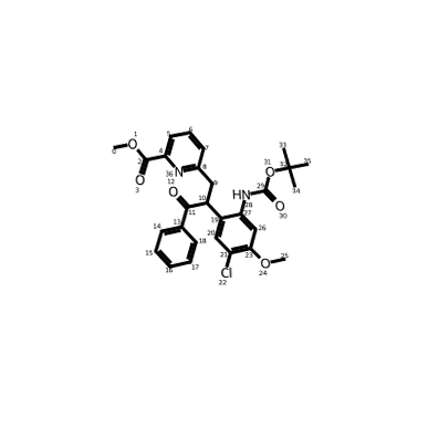 COC(=O)c1cccc(CC(C(=O)c2ccccc2)c2cc(Cl)c(OC)cc2NC(=O)OC(C)(C)C)n1